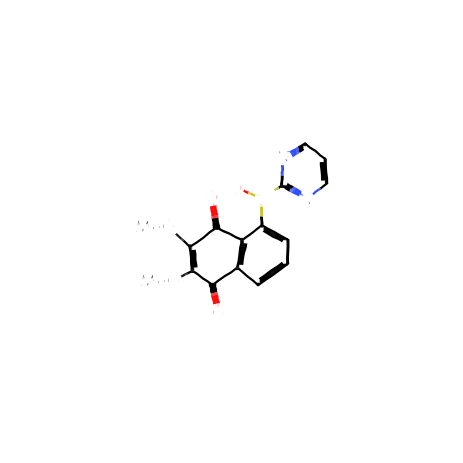 COC1=C(OC)C(=O)c2c(cccc2[S+]([O-])c2ncccn2)C1=O